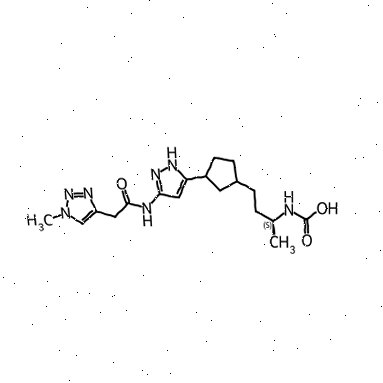 C[C@@H](CCC1CCC(c2cc(NC(=O)Cc3cn(C)nn3)n[nH]2)C1)NC(=O)O